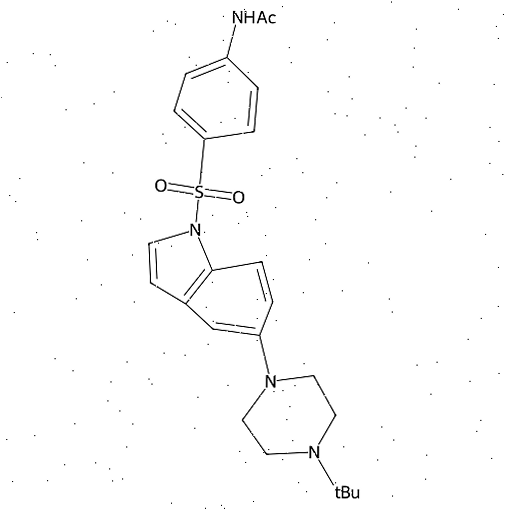 CC(=O)Nc1ccc(S(=O)(=O)n2ccc3cc(N4CCN(C(C)(C)C)CC4)ccc32)cc1